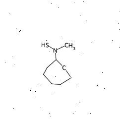 CN(S)C1CCCCCC1